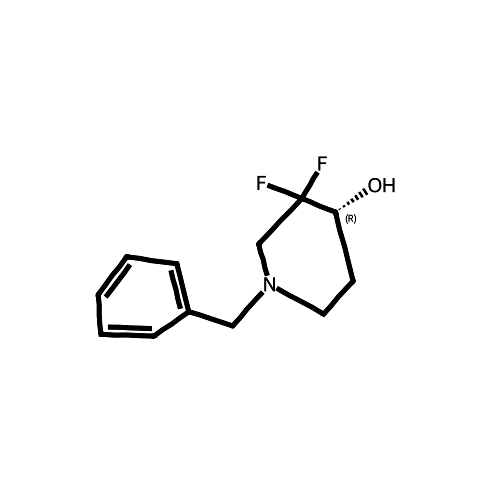 O[C@@H]1CCN(Cc2ccccc2)CC1(F)F